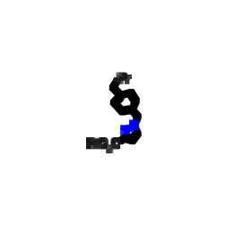 CCOC(=O)c1ccn(Cc2ccc(CC(C)C)cc2)n1